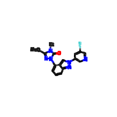 CCn1c(OC)nn(-c2cccc3nn(-c4cncc(F)c4)cc23)c1=O